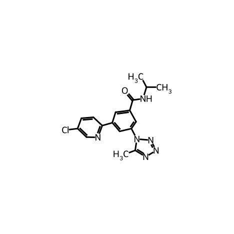 Cc1nnnn1-c1cc(C(=O)NC(C)C)cc(-c2ccc(Cl)cn2)c1